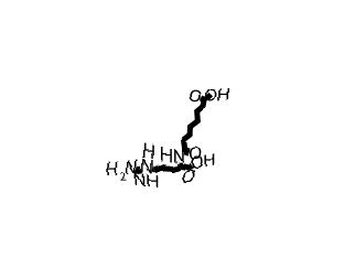 N=C(N)NCCCC(NC(=O)CCCCCCC(=O)O)C(=O)O